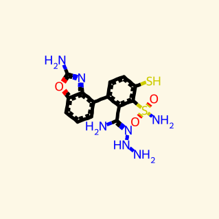 NN/N=C(\N)c1c(-c2cccc3oc(N)nc23)ccc(S)c1S(N)(=O)=O